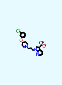 O=C(c1cn(CCCN2CCC(Oc3cccc(Cl)c3)CC2)c2ncccc12)C(F)(F)F